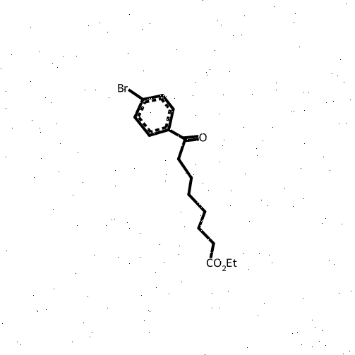 CCOC(=O)CCCCCCC(=O)c1ccc(Br)cc1